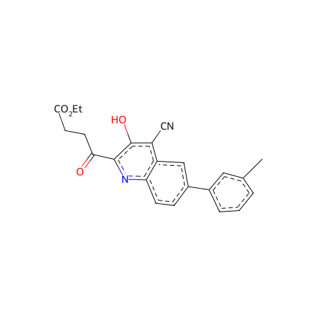 CCOC(=O)CCC(=O)c1nc2ccc(-c3cccc(C)c3)cc2c(C#N)c1O